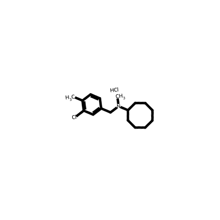 Cc1ccc(CN(C)C2CCCCCCC2)cc1Cl.Cl